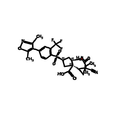 Cc1noc(C)c1-c1ccc(S(=O)(=O)[C@H]2C[C@@H](OC(C)C)[C@](C(=O)O)(C3CC3(C#N)C(N)=O)C2)c(C(F)(F)F)c1